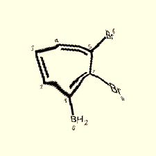 Bc1cccc(Br)c1Br